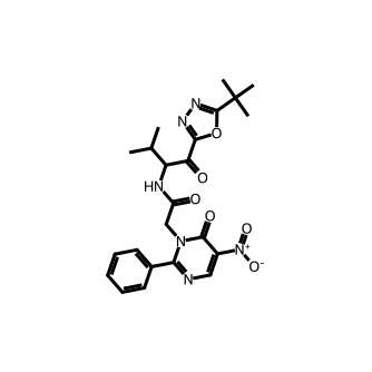 CC(C)C(NC(=O)Cn1c(-c2ccccc2)ncc([N+](=O)[O-])c1=O)C(=O)c1nnc(C(C)(C)C)o1